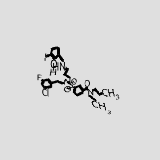 CCCN(CCC)C(=O)c1cccc(S(=O)(=O)N(CCCNCc2cccc(I)c2O)CCc2cc(F)cc(Cl)c2)c1